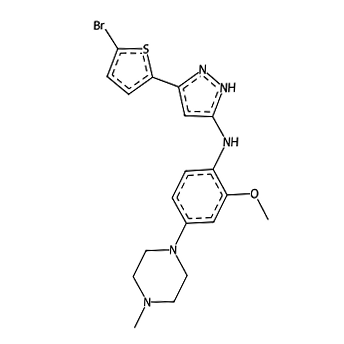 COc1cc(N2CCN(C)CC2)ccc1Nc1cc(-c2ccc(Br)s2)n[nH]1